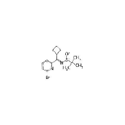 CC(C)(C)[S+]([O-])/N=C(/c1cccc(Br)n1)C1CCC1